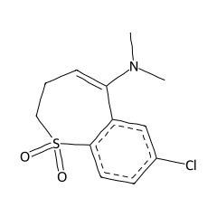 CN(C)C1=CCCS(=O)(=O)c2ccc(Cl)cc21